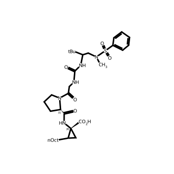 CCCCCCCCC1C[C@]1(NC(=O)[C@@H]1CCCN1C(=O)CNC(=O)NC(CN(C)S(=O)(=O)c1ccccc1)C(C)(C)C)C(=O)O